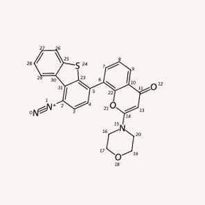 N#[N+]c1ccc(-c2cccc3c(=O)cc(N4CCOCC4)oc23)c2sc3ccccc3c12